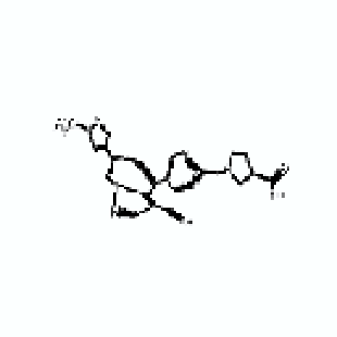 Cn1cc(-c2cc(-c3ccc(N4CCC(C(=O)O)C4)nc3)c3c(C#N)cnn3c2)cn1